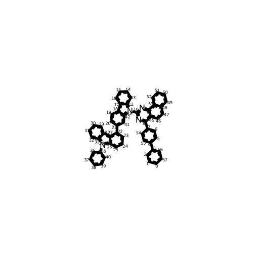 c1ccc(-c2ccc(-c3nc(-n4c5ccccc5c5ccc(-c6cccc7c6c6ccccc6n7-c6ccccc6)cc54)nc4c3ccc3ccccc34)cc2)cc1